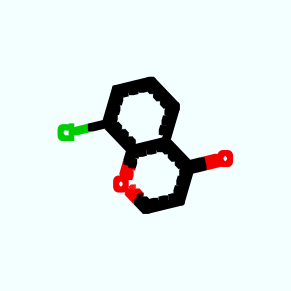 O=c1ccoc2c(Cl)cccc12